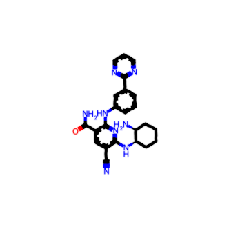 N#Cc1cc(C(N)=O)c(Nc2cccc(-c3ncccn3)c2)nc1N[C@@H]1CCCC[C@@H]1N